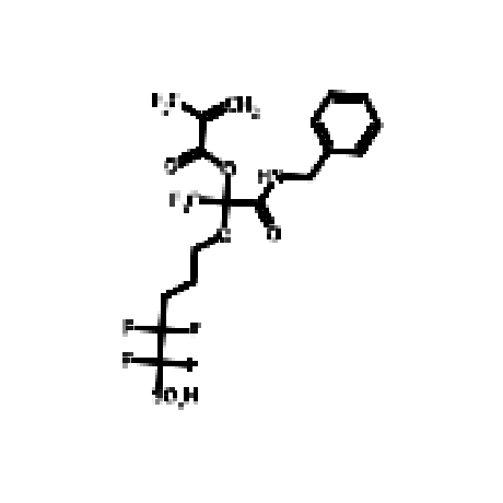 C=C(C(=O)OC(OCCCC(F)(F)C(F)(F)S(=O)(=O)O)(C(=O)NCc1ccccc1)C(F)(F)F)C(F)(F)F